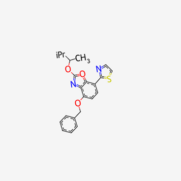 CC(C)C(C)Oc1nc2c(OCc3ccccc3)ccc(-c3nccs3)c2o1